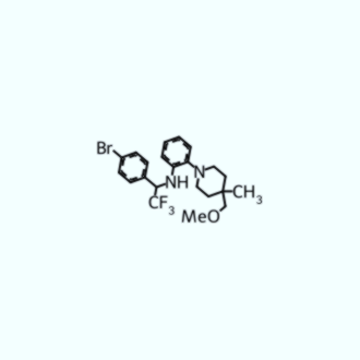 COCC1(C)CCN(c2ccccc2NC(c2ccc(Br)cc2)C(F)(F)F)CC1